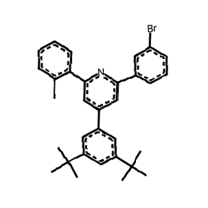 Cc1ccccc1-c1cc(-c2cc(C(C)(C)C)cc(C(C)(C)C)c2)cc(-c2cccc(Br)c2)n1